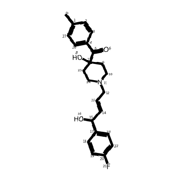 Cc1ccc(C(=O)C2(O)CCN(C/C=C/C(O)c3ccc(F)cc3)CC2)cc1